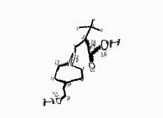 CC(C)(C)C(CN1CCC(CO)CC1)C(=O)O